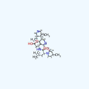 Cc1ccn([C@@H](CC(C)C)C(=O)N[C@@H](CC(=O)O)c2cncc(-c3c(C)cncc3C)c2)c(=O)c1